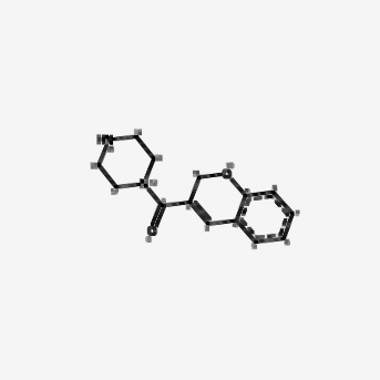 O=C(C1=Cc2ccccc2OC1)N1CCNCC1